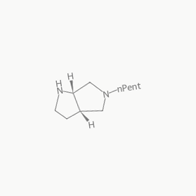 CCCCCN1C[C@@H]2CCN[C@@H]2C1